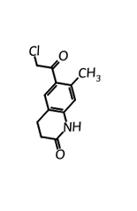 Cc1cc2c(cc1C(=O)CCl)CCC(=O)N2